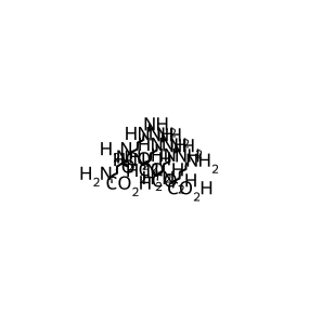 N=C(N)NCCC[C@H](N)C(=O)O.N=C(N)NCCC[C@H](N)C(=O)O.N=C(N)NCCC[C@H](N)C(=O)O.NC(=O)CC[C@H](N)C(=O)O.NCCCC[C@H](N)C(=O)O